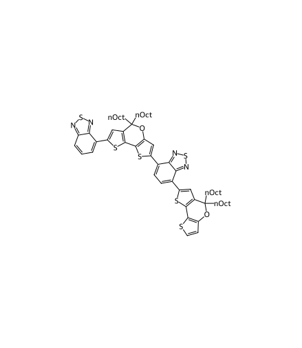 CCCCCCCCC1(CCCCCCCC)Oc2cc(-c3ccc(-c4cc5c(s4)-c4sccc4OC5(CCCCCCCC)CCCCCCCC)c4nsnc34)sc2-c2sc(-c3cccc4nsnc34)cc21